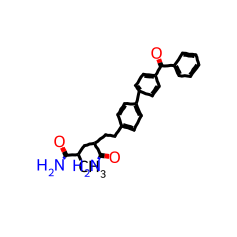 CC(CC(CCc1ccc(-c2ccc(C(=O)c3ccccc3)cc2)cc1)C(N)=O)C(N)=O